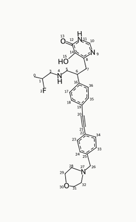 CC(F)CNCC(Cc1nc[nH]c(=O)c1O)c1ccc(C#Cc2ccc(CN3CCOCC3)cc2)cc1